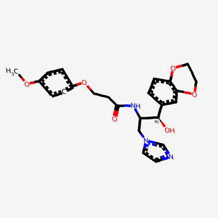 COc1ccc(OCCC(=O)NC(Cn2ccnc2)[C@H](O)c2ccc3c(c2)OCCO3)cc1